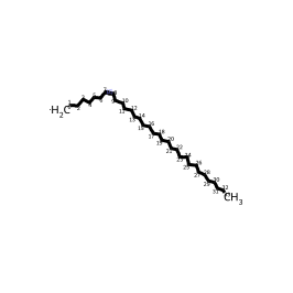 [CH2]CCCCCC/C=C\CCCCCCCCCCCCCCCCCCCCCCCCC